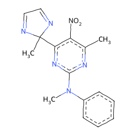 Cc1nc(N(C)c2ccccc2)nc(C2(C)N=CC=N2)c1[N+](=O)[O-]